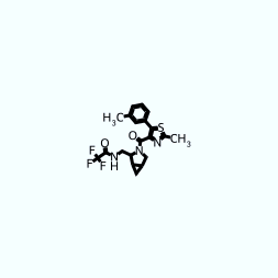 Cc1cccc(-c2sc(C)nc2C(=O)N2CC3CC3C2CNC(=O)C(F)(F)F)c1